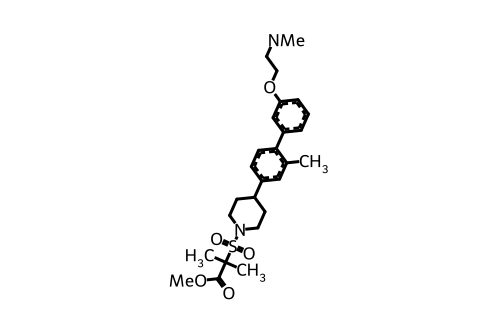 CNCCOc1cccc(-c2ccc(C3CCN(S(=O)(=O)C(C)(C)C(=O)OC)CC3)cc2C)c1